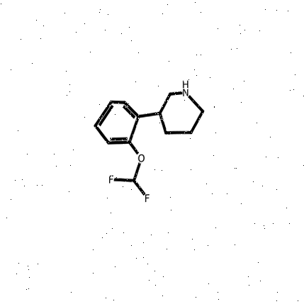 FC(F)Oc1ccccc1C1CCCNC1